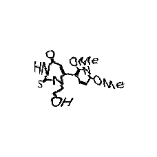 COc1ccc(-c2cc(=O)[nH]c(=S)n2CCO)c(OC)n1